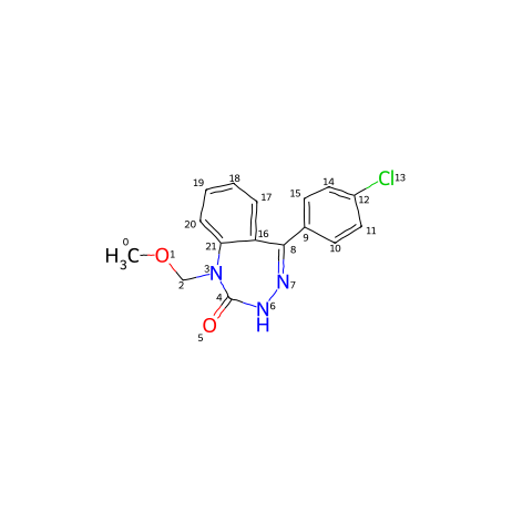 COCN1C(=O)NN=C(c2ccc(Cl)cc2)c2ccccc21